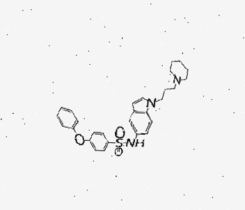 O=S(=O)(Nc1ccc2c(ccn2CCCN2CCCCC2)c1)c1ccc(Oc2ccccc2)cc1